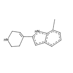 Cc1cccc2cc(C3=CCNCC3)[nH]c12